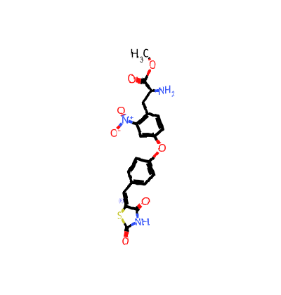 COC(=O)C(N)Cc1ccc(Oc2ccc(/C=C3/SC(=O)NC3=O)cc2)cc1[N+](=O)[O-]